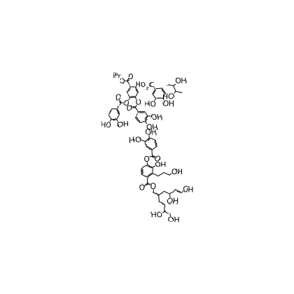 CC(C)OC(=O)c1ccc(OC(=O)c2ccc(O)c(O)c2)c(OC(=O)c2ccc(O)c(O)c2)c1.CC(O)C(C)O.O=C(O)c1ccc(O)c(O)c1.O=C(Oc1ccc(C(=O)OCC(CCC(O)CO)CC(O)CCO)c(CCCO)c1O)c1ccc(O)c(O)c1